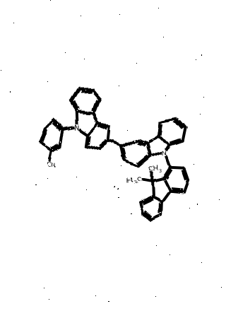 CC1(C)c2ccccc2-c2cccc(-n3c4ccccc4c4cc(-c5ccc6c(c5)c5ccccc5n6-c5cccc(C#N)c5)ccc43)c21